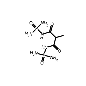 CC(C(=O)NP(N)(N)=O)C(=O)NP(N)(N)=O